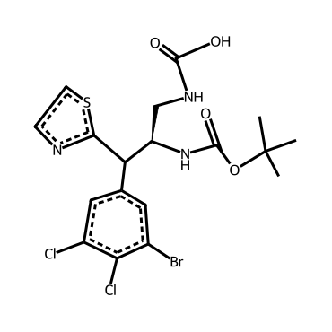 CC(C)(C)OC(=O)N[C@H](CNC(=O)O)C(c1cc(Cl)c(Cl)c(Br)c1)c1nccs1